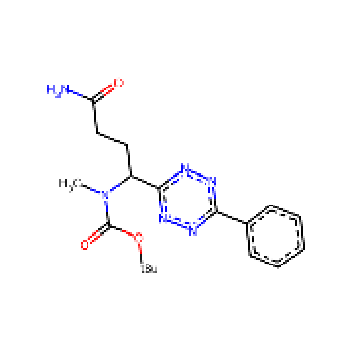 CN(C(=O)OC(C)(C)C)C(CCC(N)=O)c1nnc(-c2ccccc2)nn1